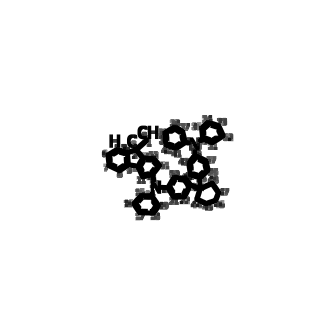 CCC1(C)c2ccccc2-c2cc(N(c3ccccc3)c3ccc(C4(c5ccc(N(c6ccccc6)c6ccccc6)cc5)CCCCC4)cc3)ccc21